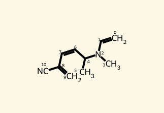 C=CN(C)C(C)/C=C\C(=C)C#N